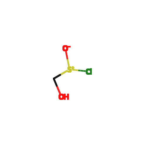 [O-][S+](Cl)CO